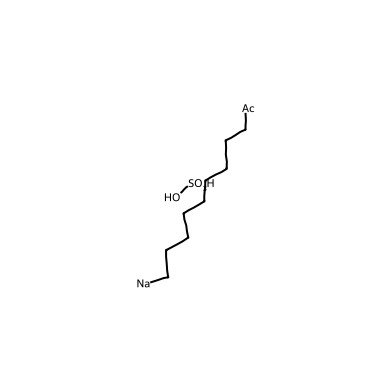 CC(=O)CCCCCCCC[CH2][Na].O=S(=O)(O)O